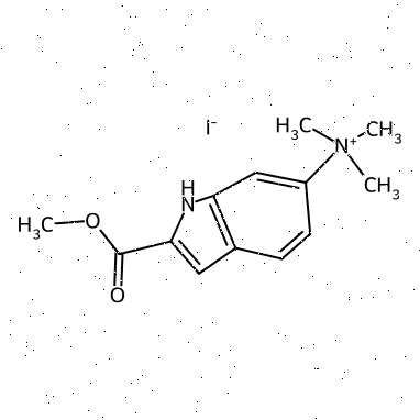 COC(=O)c1cc2ccc([N+](C)(C)C)cc2[nH]1.[I-]